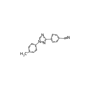 Cc1ccc(-n2cnc(-c3ccc(C#N)cc3)n2)cc1